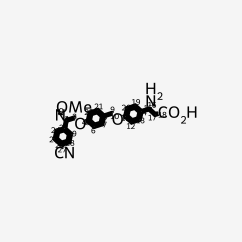 CO/N=C(\COc1ccc(COc2ccc(C(N)CC(=O)O)cc2)cc1)c1ccc(C#N)cc1